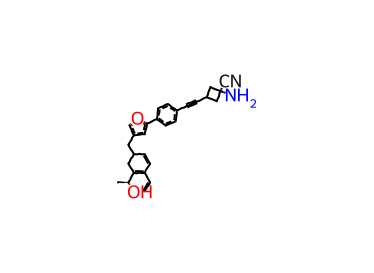 C=CC1=C([C@H](C)O)CC(Cc2coc(-c3ccc(C#CC4CC(N)(C#N)C4)cc3)c2)C=C1